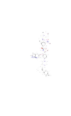 CC1(C)CCC(CN2CCN(c3ccc(C(=O)NS(=O)(=O)c4cc5c(c([N+](=O)[O-])c4)N[C@H](CN4CCOCC4)CS5)c(Oc4cnc5[nH]ccc5c4)c3)CC2)=C(c2ccc(Cl)cc2)C1